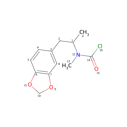 CC(Cc1ccc2c(c1)OCO2)N(C)C(=O)Cl